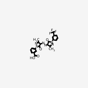 CC1=NN(c2cccc(C(=O)O)c2)C(=O)C1N=NC1C(=O)N(c2cccc(C(F)(F)F)c2)N=C1C